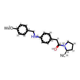 COc1ccc(CNc2ccc(CC(=O)N3CCC[C@H]3C#N)cc2)cc1